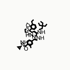 CCc1cccc(C2(C3C=C(NCCC(CC)(CC)CC)C4NC=C(c5ccc(C(=O)N(N)C6CC6)c(C)c5)N4N3)SCCS2)c1OC